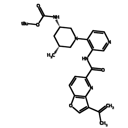 C=C(C)c1coc2ccc(C(=O)Nc3cnccc3N3C[C@H](C)C[C@H](NC(=O)OC(C)(C)C)C3)nc12